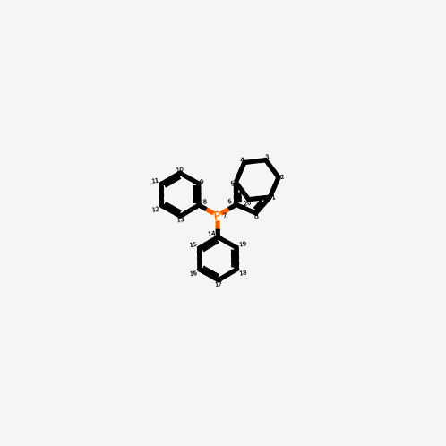 C1=C2CCCC(=C1P(c1ccccc1)c1ccccc1)C2